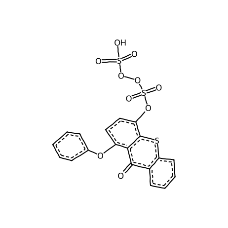 O=c1c2ccccc2sc2c(OS(=O)(=O)OOS(=O)(=O)O)ccc(Oc3ccccc3)c12